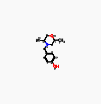 CC1CN(Cc2ccc(O)cc2)C(C(C)C)CO1